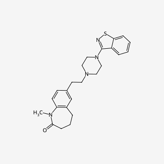 CN1C(=O)CCCc2cc(CCN3CCN(c4nsc5ccccc45)CC3)ccc21